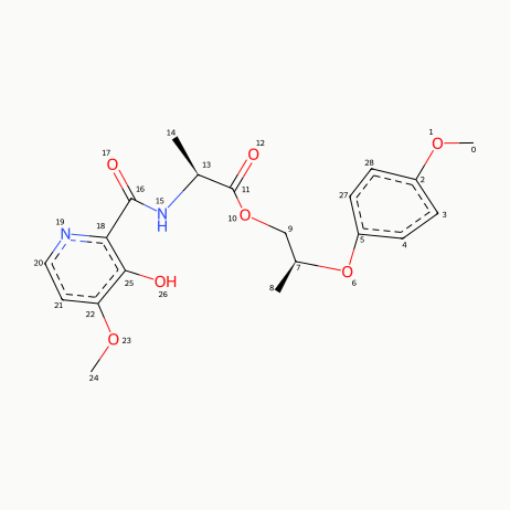 COc1ccc(O[C@@H](C)COC(=O)[C@H](C)NC(=O)c2nccc(OC)c2O)cc1